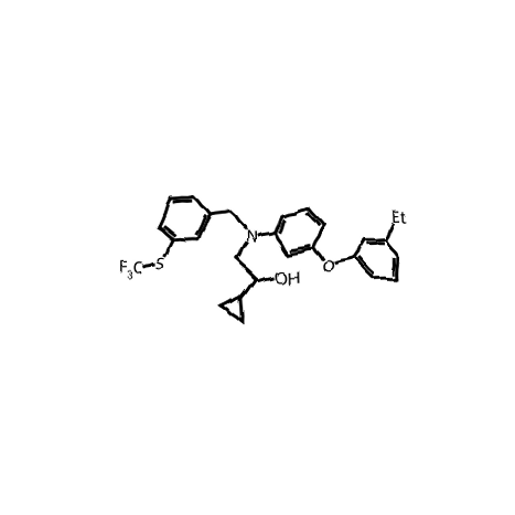 CCc1cccc(Oc2cccc(N(Cc3cccc(SC(F)(F)F)c3)CC(O)C3CC3)c2)c1